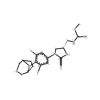 COC(O)NC[C@H]1CN(c2cc(F)c(N3C4CCC3CSC4)c(F)c2)C(=O)O1